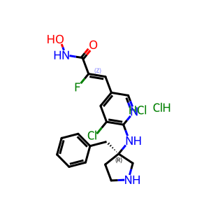 Cl.Cl.O=C(NO)/C(F)=C/c1cnc(N[C@]2(Cc3ccccc3)CCNC2)c(Cl)c1